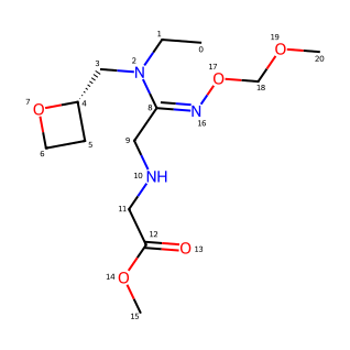 CCN(C[C@@H]1CCO1)/C(CNCC(=O)OC)=N\OCOC